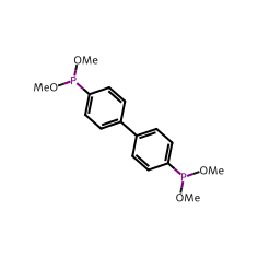 COP(OC)c1ccc(-c2ccc(P(OC)OC)cc2)cc1